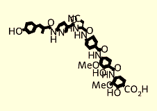 COc1c(NC(=O)c2ccc(NC(=O)c3ccc(NC(=O)[C@H](CC#N)NC(=O)c4ccc(NC(=O)/C(C)=C/c5ccc(O)cc5)nc4)cc3)c(OC)c2O)ccc(C(=O)O)c1O